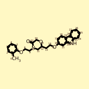 Cc1ccccc1OCCN1CC(CCOc2ccc3c(c2)[nH]c2ccccc23)OCC1=O